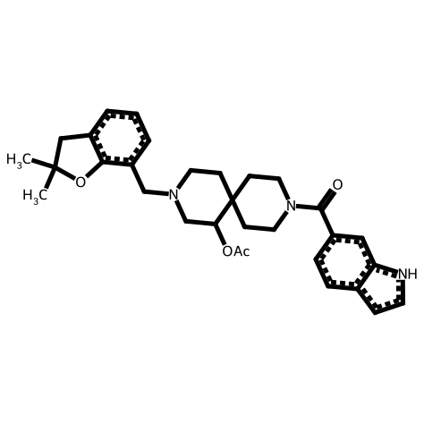 CC(=O)OC1CN(Cc2cccc3c2OC(C)(C)C3)CCC12CCN(C(=O)c1ccc3cc[nH]c3c1)CC2